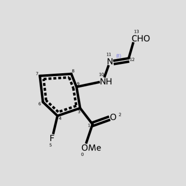 COC(=O)c1c(F)cccc1N/N=C/C=O